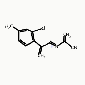 C=C(C#N)/N=C/C(=C)c1ccc(C)cc1Cl